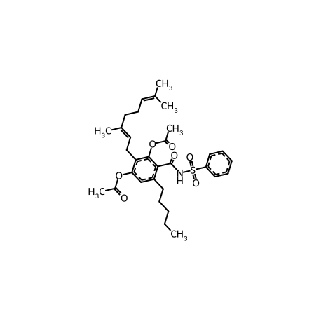 CCCCCc1cc(OC(C)=O)c(C/C=C(\C)CCC=C(C)C)c(OC(C)=O)c1C(=O)NS(=O)(=O)c1ccccc1